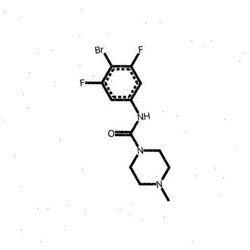 CN1CCN(C(=O)Nc2cc(F)c(Br)c(F)c2)CC1